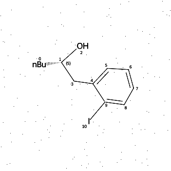 CCCC[C@H](O)Cc1ccccc1I